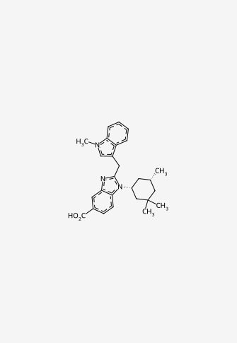 C[C@H]1C[C@@H](n2c(Cc3cn(C)c4ccccc34)nc3cc(C(=O)O)ccc32)CC(C)(C)C1